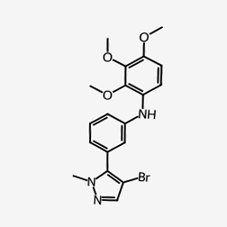 COc1ccc(Nc2cccc(-c3c(Br)cnn3C)c2)c(OC)c1OC